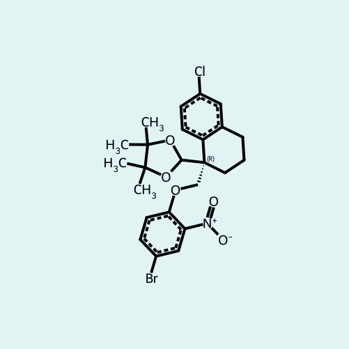 CC1(C)OC([C@]2(COc3ccc(Br)cc3[N+](=O)[O-])CCCc3cc(Cl)ccc32)OC1(C)C